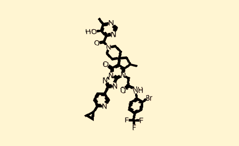 Cc1ncnc(C(=O)N2CCC3(CC2)CC(C)c2c3c(=O)n3nc(-c4ccc(C5CC5)nc4)nc3n2CC(=O)Nc2ccc(C(F)(F)F)cc2Br)c1O